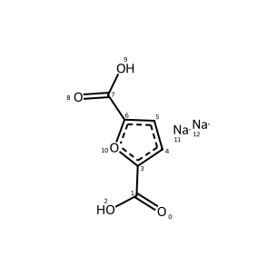 O=C(O)c1ccc(C(=O)O)o1.[Na].[Na]